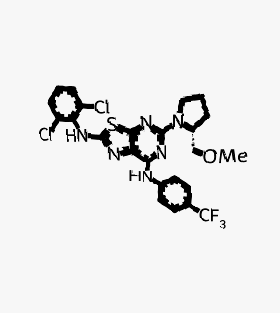 COC[C@H]1CCCN1c1nc(Nc2ccc(C(F)(F)F)cc2)c2nc(Nc3c(Cl)cccc3Cl)sc2n1